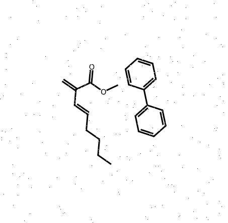 C=C(C=CCCCC)C(=O)OC.c1ccc(-c2ccccc2)cc1